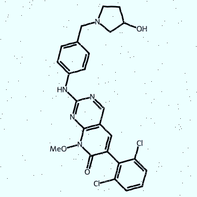 COn1c(=O)c(-c2c(Cl)cccc2Cl)cc2cnc(Nc3ccc(CN4CCC(O)C4)cc3)nc21